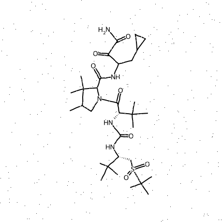 CC1CN(C(=O)[C@@H](NC(=O)N[C@H](CS(=O)(=O)C(C)(C)C)C(C)(C)C)C(C)(C)C)C(C(=O)NC(CC2CC2)C(=O)C(N)=O)C1(C)C